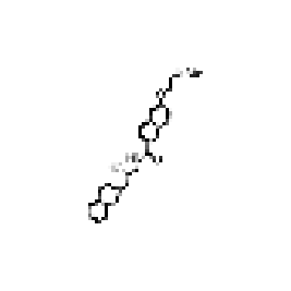 CNCCOc1ccc2cc(C(=O)NC[C@H](O)CN3CCc4ccccc4C3)ccc2c1